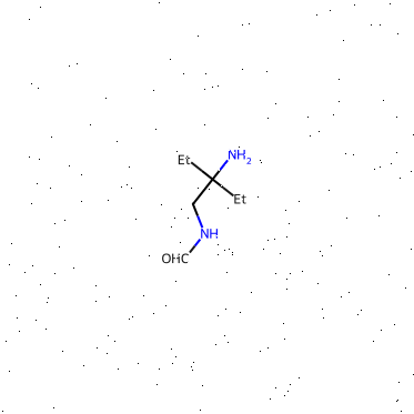 CCC(N)(CC)CNC=O